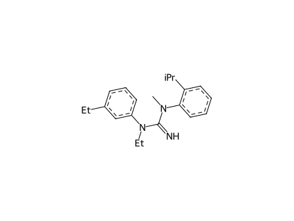 CCc1cccc(N(CC)C(=N)N(C)c2ccccc2C(C)C)c1